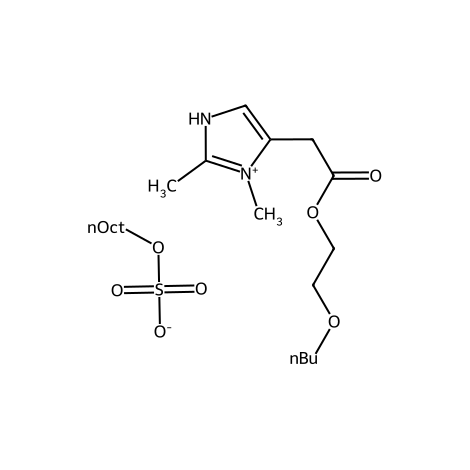 CCCCCCCCOS(=O)(=O)[O-].CCCCOCCOC(=O)Cc1c[nH]c(C)[n+]1C